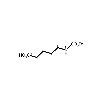 CCOC(=O)NCCCCC(=O)O